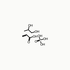 C=CC(=O)O.CC(O)CO.O=P(O)(O)O